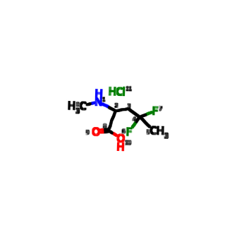 CNC(CC(C)(F)F)C(=O)O.Cl